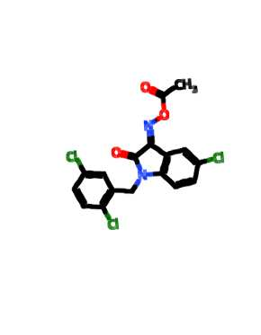 CC(=O)O/N=C1/C(=O)N(Cc2cc(Cl)ccc2Cl)c2ccc(Cl)cc21